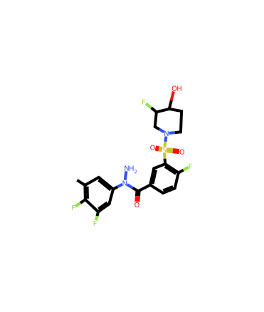 Cc1cc(N(N)C(=O)c2ccc(F)c(S(=O)(=O)N3CCC(O)C(F)C3)c2)cc(F)c1F